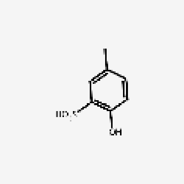 [CH2]c1ccc(O)c(S(=O)(=O)O)c1